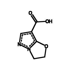 O=C(O)c1cnn2c1OCC2